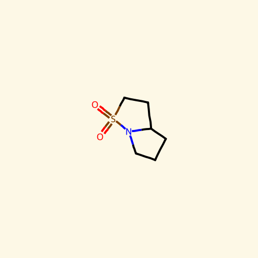 O=S1(=O)CCC2CCCN21